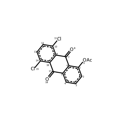 CC(=O)Oc1cccc2c1C(=O)c1c(Cl)ccc(Cl)c1C2=O